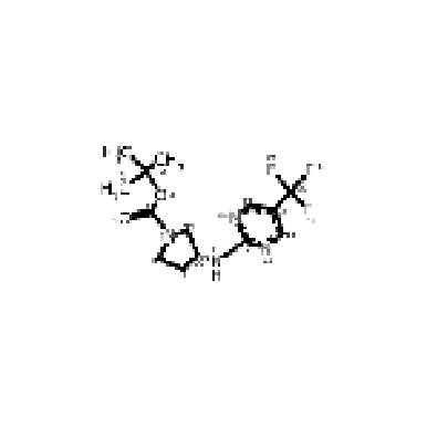 CC(C)(C)OC(=O)N1CC[C@@H](Nc2ncc(C(F)(F)F)cn2)C1